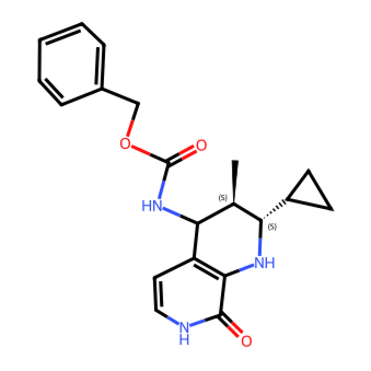 C[C@@H]1C(NC(=O)OCc2ccccc2)c2cc[nH]c(=O)c2N[C@H]1C1CC1